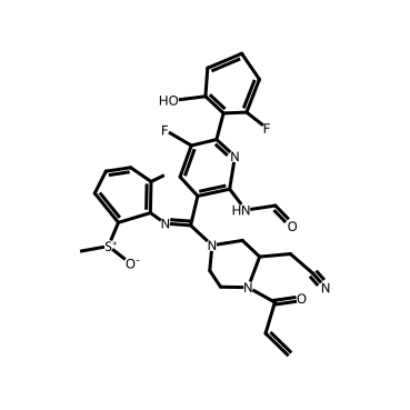 C=CC(=O)N1CCN(/C(=N/c2c(C)cccc2[S+](C)[O-])c2cc(F)c(-c3c(O)cccc3F)nc2NC=O)CC1CC#N